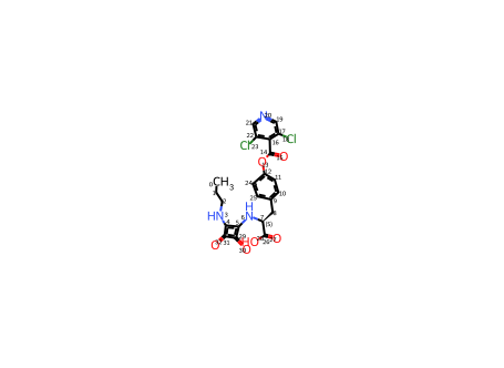 CCCNc1c(N[C@@H](Cc2ccc(OC(=O)c3c(Cl)cncc3Cl)cc2)C(=O)O)c(=O)c1=O